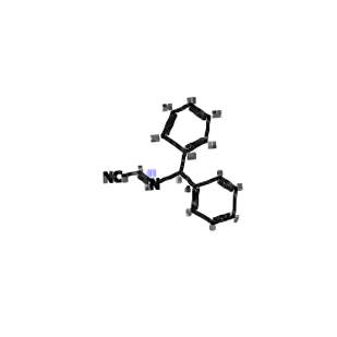 N#C/C=N/C(c1ccccc1)c1ccccc1